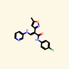 Cc1cc(/C(=C\Nc2cccnc2)C(=O)Nc2ccc(Cl)cc2)no1